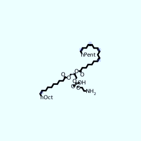 CCCCC/C=C\C/C=C\C/C=C\C/C=C\CCCCCC(=O)O[C@H](COC(=O)CCCCCCC/C=C\CCCCCCCC)COP(=O)(O)OCCN